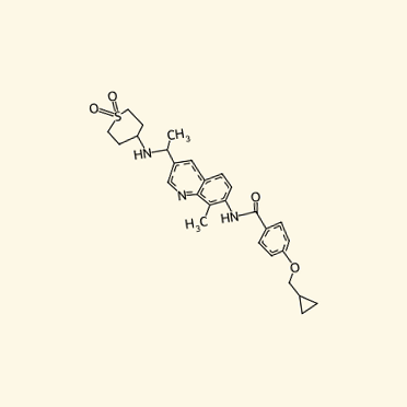 Cc1c(NC(=O)c2ccc(OCC3CC3)cc2)ccc2cc(C(C)NC3CCS(=O)(=O)CC3)cnc12